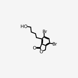 O=C1OCc2c(Br)cc(Br)c(CCCCO)c21